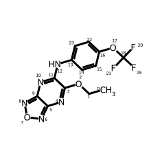 CCOc1nc2nonc2nc1Nc1ccc(OC(F)(F)F)cc1